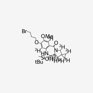 [2H]c1c2c(c([2H])c(OC)c1OCCCBr)C(=O)N1C([2H])C3(C([2H])C3([2H])[2H])C([2H])([2H])[C@@]1([2H])C([2H])(O[Si](C)(C)C(C)(C)C)N2